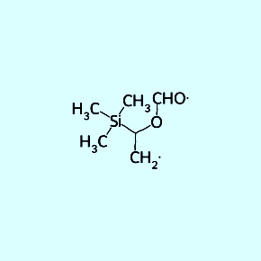 [CH2]C(O[C]=O)[Si](C)(C)C